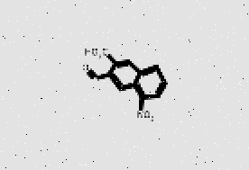 O=Ic1cc2c([N+](=O)[O-])cccc2cc1C(=O)O